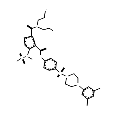 CN(c1ccc(C(=O)N(CCO)CCO)cc1C(=O)Nc1ccc(S(=O)(=O)N2CCN(c3cc(Cl)cc(Cl)c3)CC2)cc1)S(C)(=O)=O